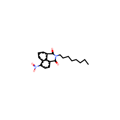 CCCCCCCCN1C(=O)c2cccc3c([N+](=O)[O-])ccc(c23)C1=O